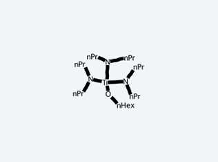 CCCCCC[O][Ti]([N](CCC)CCC)([N](CCC)CCC)[N](CCC)CCC